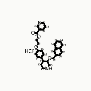 Cl.O=C(OCCOc1ccc(C2CCNCC2OCc2ccc3ccccc3c2)cc1)c1cccnc1